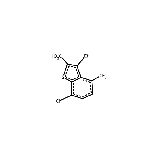 CCc1c(C(=O)O)sc2c(Cl)ccc(C(F)(F)F)c12